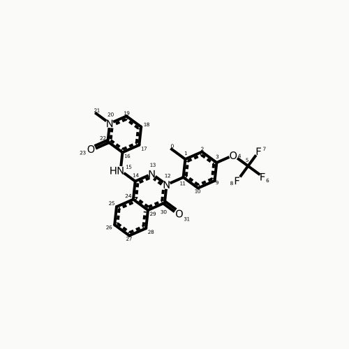 Cc1cc(OC(F)(F)F)ccc1-n1nc(Nc2cccn(C)c2=O)c2ccccc2c1=O